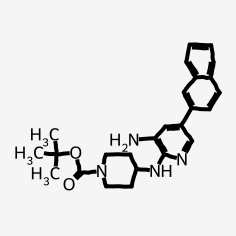 CC(C)(C)OC(=O)N1CCC(Nc2ncc(-c3ccc4ccccc4c3)cc2N)CC1